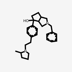 CC1CCCN1CCc1ccc(C2(O)CCC3CN(Cc4ccccc4)CC32)cc1